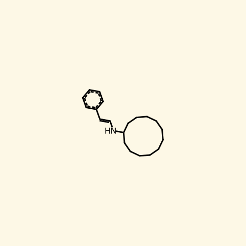 C(=Cc1ccccc1)NC1CCCCCCCCCCC1